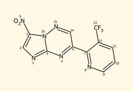 O=[N+]([O-])c1cnc2nc(-c3ncccc3C(F)(F)F)cnn12